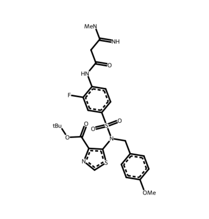 CNC(=N)CC(=O)Nc1ccc(S(=O)(=O)N(Cc2ccc(OC)cc2)c2scnc2C(=O)OC(C)(C)C)cc1F